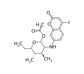 CCC1OC(OC(C)=O)C(Nc2ccc3c(I)cc(=O)oc3c2)[C@@H](C)[C@@H]1C